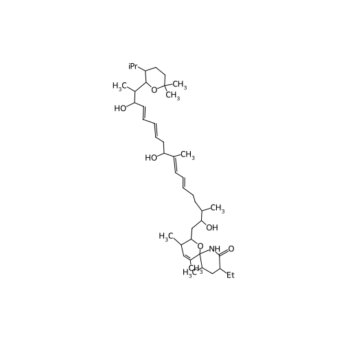 CCC1CC(C)C2(NC1=O)OC(CC(O)C(C)CC/C=C/C=C(\C)C(O)C/C=C/C=C/C(O)C(C)C1OC(C)(C)CCC1C(C)C)C(C)C=C2C